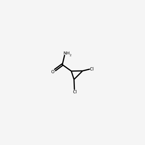 NC(=O)C1C(Cl)C1Cl